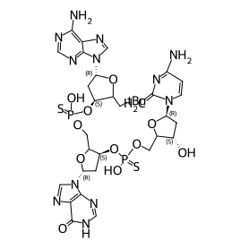 C=C1N=C(N)C=CN1[C@H]1C[C@H](O)C(COP(O)(=S)O[C@H]2C[C@H](n3cnc4c(=O)[nH]cnc43)OC2COP(O)(=S)O[C@H]2C[C@H](n3cnc4c(N)ncnc43)OC2CC(C)(C)C)O1